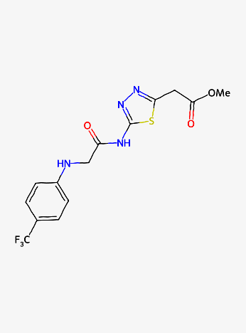 COC(=O)Cc1nnc(NC(=O)CNc2ccc(C(F)(F)F)cc2)s1